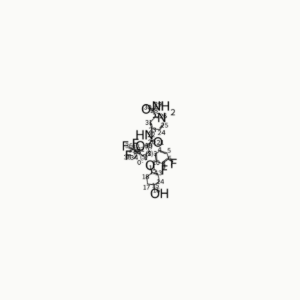 C[C@H]1[C@@H](c2ccc(F)c(F)c2OC2CCC(O)CC2)[C@H](C(=O)Nc2ccnc(C(N)=O)c2)O[C@@]1(C)C(F)(F)F